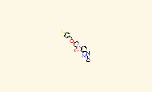 Cn1c(C2CCC2)nc2ccc(-n3ccc(OCc4ccc(F)cc4)cc3=O)cc21